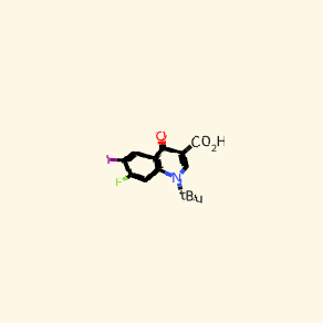 CC(C)(C)n1cc(C(=O)O)c(=O)c2cc(I)c(F)cc21